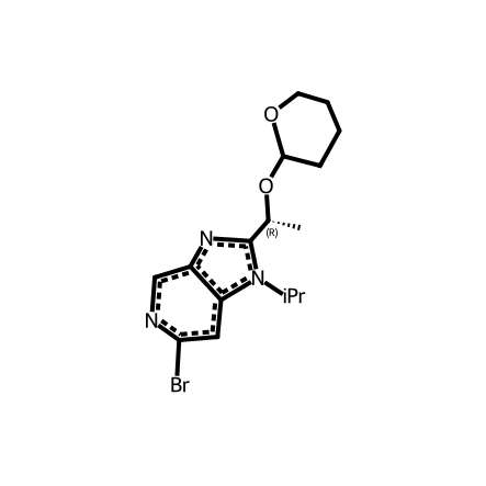 CC(C)n1c([C@@H](C)OC2CCCCO2)nc2cnc(Br)cc21